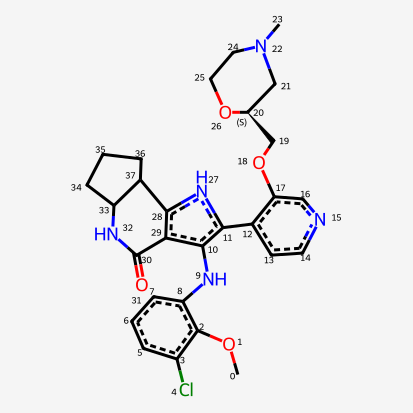 COc1c(Cl)cccc1Nc1c(-c2ccncc2OC[C@@H]2CN(C)CCO2)[nH]c2c1C(=O)NC1CCCC21